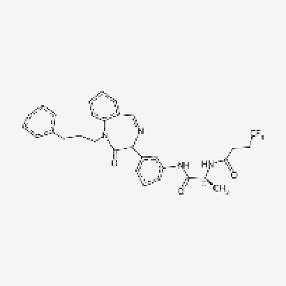 C[C@H](NC(=O)CCC(F)(F)F)C(=O)Nc1cccc(C2N=Cc3ccccc3N(CCCc3ccccc3)C2=O)c1